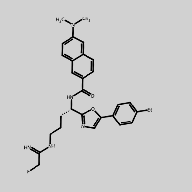 CCc1ccc(-c2cnc([C@H](CCCNC(=N)CF)NC(=O)c3ccc4cc(N(C)C)ccc4c3)o2)cc1